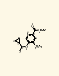 COC(=O)c1cc(OC)c(OC(C)C2CC2)cn1